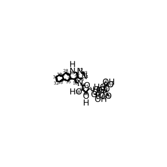 O=P(O)(O)OP(=O)(O)OP(=O)(O)OC[C@H]1O[C@@H](n2cc3c4c(ncnc42)Nc2cc4ccccc4cc2-3)C(O)[C@H]1O